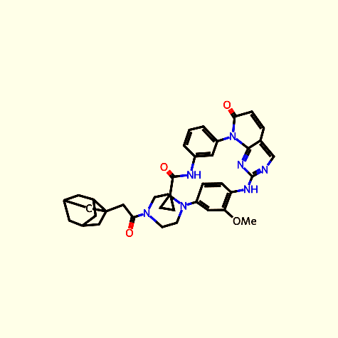 COc1cc(N2CCN(C(=O)CC34CC5CC(CC3C5)C4)CC2)ccc1Nc1ncc2ccc(=O)n(-c3cccc(NC(=O)C4CC4)c3)c2n1